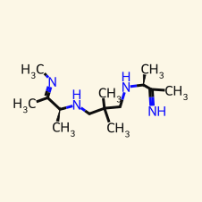 C/N=C(\C)[C@H](C)NCC(C)(C)CN[C@@H](C)C(C)=N